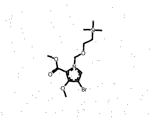 COC(=O)c1c(OC)c(Br)cn1COCC[Si](C)(C)C